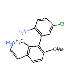 COc1ccc(/C=C\N)c(C)c1-c1cc(Cl)ccc1N